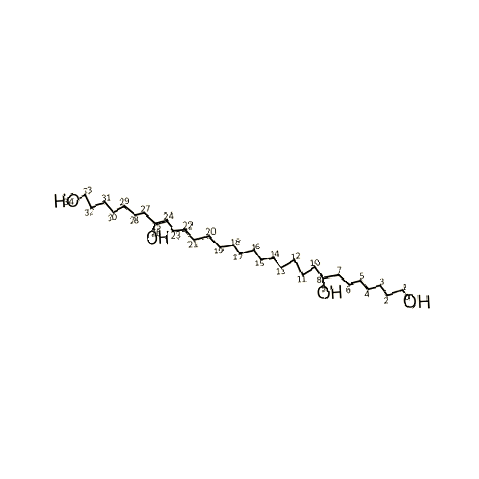 OCCCCCCCC(O)CCCCCCCCCCCCCCCC(O)CCCCCCCO